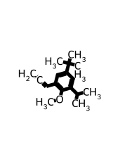 C=C=Cc1cc(C(C)(C)C)cc(C(C)C)c1OC